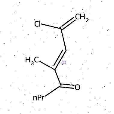 C=C(Cl)/C=C(\C)C(=O)CCC